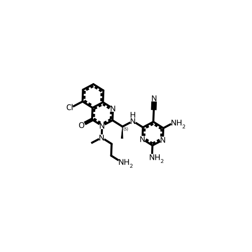 C[C@H](Nc1nc(N)nc(N)c1C#N)c1nc2cccc(Cl)c2c(=O)n1N(C)CCN